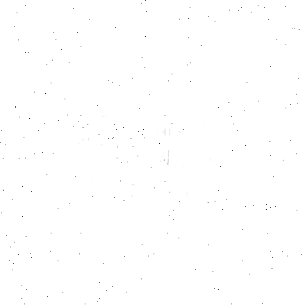 O=Cc1ccccc1C(=O)NCC(F)(F)C1CC2(CCO1)OCCO2